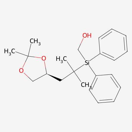 CC1(C)OC[C@H](CC(C)(C)[Si](CO)(c2ccccc2)c2ccccc2)O1